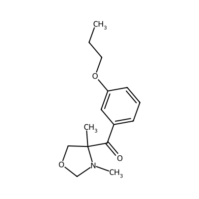 CCCOc1cccc(C(=O)C2(C)COCN2C)c1